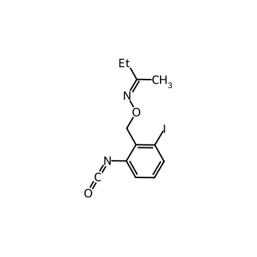 CCC(C)=NOCc1c(I)cccc1N=C=O